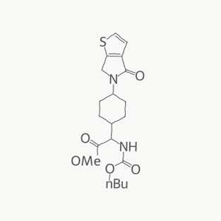 CCCCOC(=O)NC(C(=O)OC)C1CCC(N2Cc3sccc3C2=O)CC1